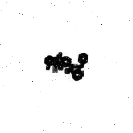 COc1ccc(NC(=O)c2cccnc2SCc2ccccc2)cc1S(=O)(=O)Nc1c(C)cccc1C